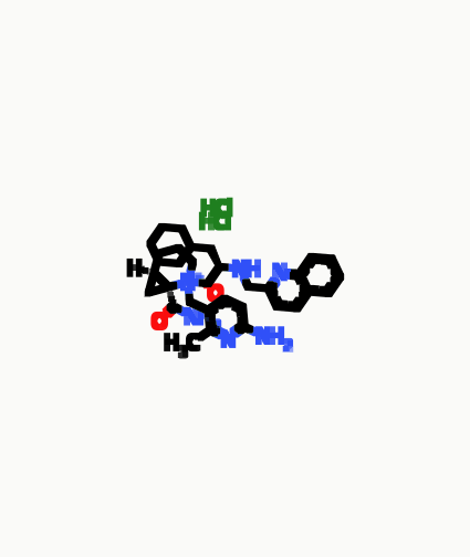 Cc1nc(N)ccc1C[N+]1(C(=O)[C@@H](CC2CCCCC2)NCc2ccc3ccccc3n2)CCC[C@@H]2C[C@@]21C(N)=O.Cl.Cl